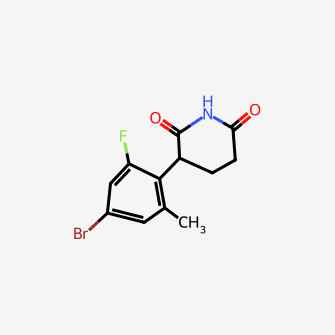 Cc1cc(Br)cc(F)c1C1CCC(=O)NC1=O